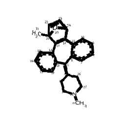 CN1CCC(=C2c3ccccc3C3=C(c4ccccc42)C2(C)C=CC3O2)CC1